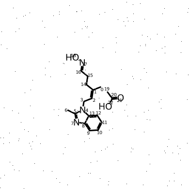 CC(=CCn1c(C)nc2ccccc21)CCC=NO.CC(=O)O